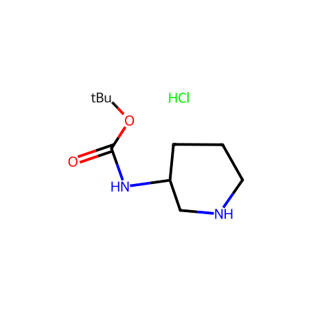 CC(C)(C)OC(=O)NC1CCCNC1.Cl